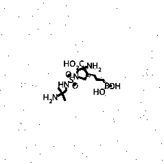 CC(C)(N)CNS(=O)(=O)N1C[C@H](CCCB(O)O)[C@](N)(C(=O)O)C1